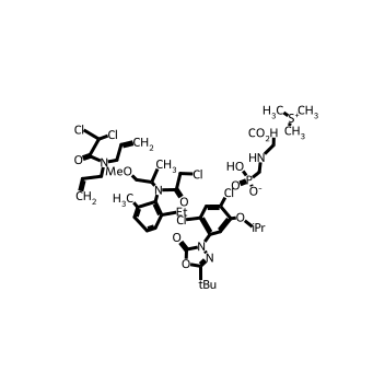 C=CCN(CC=C)C(=O)C(Cl)Cl.CC(C)Oc1cc(-n2nc(C(C)(C)C)oc2=O)c(Cl)cc1Cl.CCc1cccc(C)c1N(C(=O)CCl)C(C)COC.C[S+](C)C.O=C(O)CNCP(=O)([O-])O